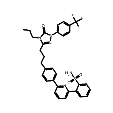 CCCn1c(CCCc2ccc(-c3cccc(-c4ccccc4S(N)(=O)=O)n3)cc2)nn(-c2ccc(C(F)(F)F)cc2)c1=O